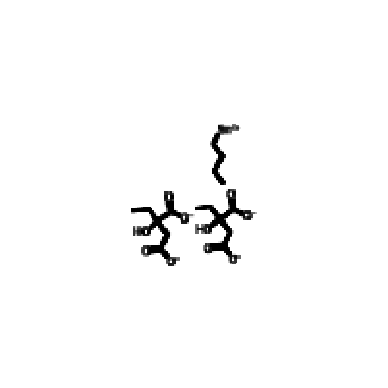 CCC(O)(CC(=O)[O-])C(=O)[O-].CCC(O)(CC(=O)[O-])C(=O)[O-].CCC[CH2][Sn+4]